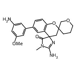 COc1cc(N)cc(-c2ccc3c(c2)C2(CC4(CCCOC4)O3)N=C(N)N(C)C2=O)c1